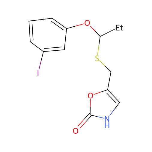 CCC(Oc1cccc(I)c1)SCc1c[nH]c(=O)o1